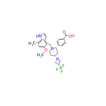 COc1cc(C)c2[nH]ccc2c1CN1CC[C@@H](N2CC(C(F)(F)F)C2)C[C@H]1c1ccc(C(=O)O)cc1